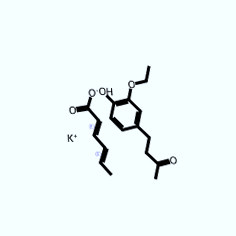 C/C=C/C=C/C(=O)[O-].CCOc1cc(CCC(C)=O)ccc1O.[K+]